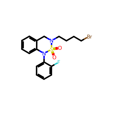 O=S1(=O)N(CCCCBr)Cc2ccccc2N1c1ccccc1F